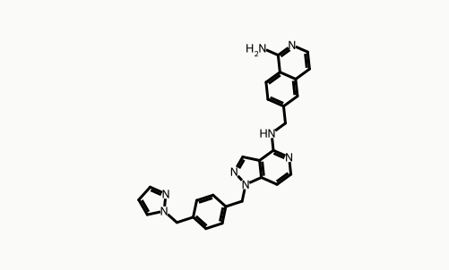 Nc1nccc2cc(CNc3nccc4c3cnn4Cc3ccc(Cn4cccn4)cc3)ccc12